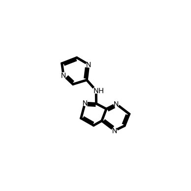 c1cnc(Nc2nccc3nccnc23)cn1